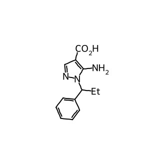 CCC(c1ccccc1)n1ncc(C(=O)O)c1N